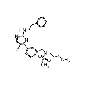 CS(=O)(=O)N(CCCN)Cc1cccc(-c2nc(NCCc3ccccc3)ncc2F)c1